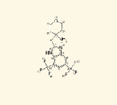 NC1(Cc2nc3cc(C(F)(F)F)cc(C(F)(F)F)c3[nH]2)CCOCC1